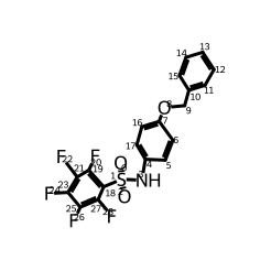 O=S(=O)(Nc1ccc(OCc2ccccc2)cc1)c1c(F)c(F)c(F)c(F)c1F